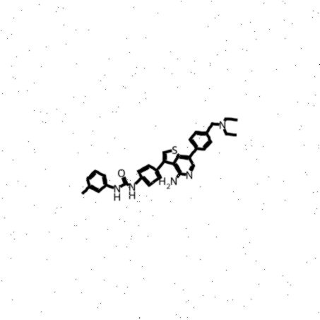 CCN(CC)Cc1ccc(-c2cnc(N)c3c(-c4ccc(NC(=O)Nc5cccc(C)c5)cc4)csc23)cc1